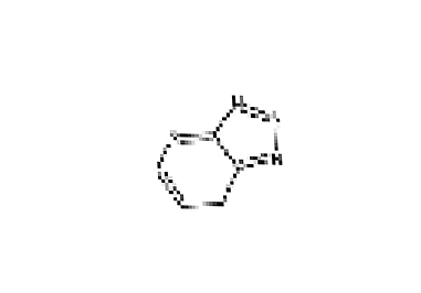 C1=CN=C2N=NN=C2C1